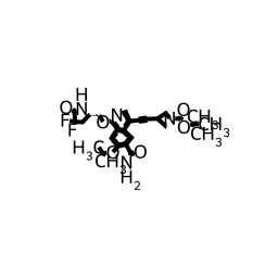 CC(C)Oc1cc2c(OC[C@@H]3CC(F)(F)C(=O)N3)ncc(C#CC3CN(C(=O)OC(C)(C)C)C3)c2cc1C(N)=O